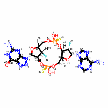 Nc1nc2c(nnn2[C@@H]2O[C@@H]3COP(O)(=S)O[C@H]4[C@H](F)[C@H](n5cnc6c(N)ncnc65)O[C@@H]4COP(O)(=S)O[C@@H]2[C@@H]3F)c(=O)[nH]1